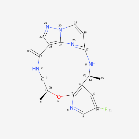 C=C1NC[C@H](C)Oc2ncc(F)cc2[C@H](C)Nc2ccn3ncc1c3n2